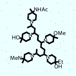 CCC1(O)CCN(C(CCC(CCC(CC(C)N2CCC(C)(NC(C)=O)CC2)N2CCC(C)(O)CC2)N2CCC(C)(OC)CC2)CC(C)N2CCC(C)(NC)CC2)CC1